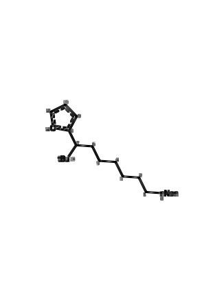 CCCCCCCCCCCCCCCC(c1ccco1)C(C)(C)C